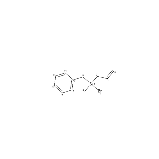 C=CC[Si](C)(Br)Cc1ccccc1